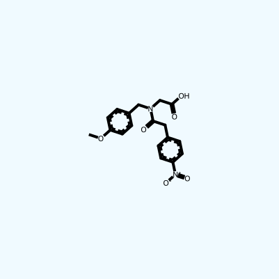 COc1ccc(CN(CC(=O)O)C(=O)Cc2ccc([N+](=O)[O-])cc2)cc1